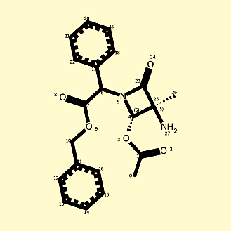 CC(=O)O[C@@H]1N(C(C(=O)OCc2ccccc2)c2ccccc2)C(=O)[C@@]1(C)N